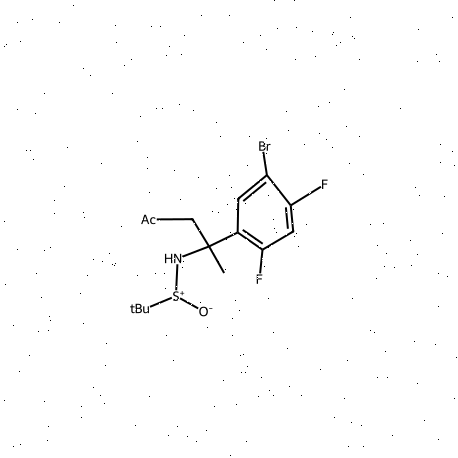 CC(=O)CC(C)(N[S+]([O-])C(C)(C)C)c1cc(Br)c(F)cc1F